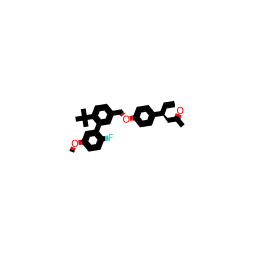 C=C[C@@H](CC(C)=O)c1ccc(OCc2ccc(C(C)(C)C)c(-c3cc(OC)ccc3F)c2)cc1